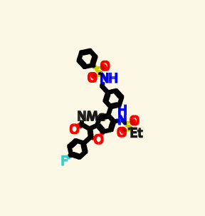 CCS(=O)(=O)Nc1cc2oc(-c3ccc(F)cc3)c(C(=O)NC)c2cc1-c1cccc(CNS(=O)(=O)c2ccccc2)c1